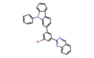 Brc1cc(-c2ccc3c4ccccc4n(-c4ccccc4)c3c2)cc(-c2ncc3ccccc3n2)c1